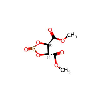 COC(=O)[C@@H]1OS(=O)O[C@H]1C(=O)OC